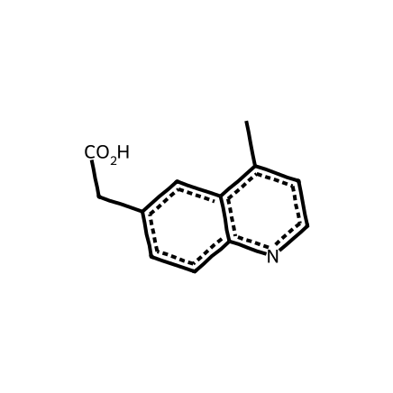 Cc1ccnc2ccc(CC(=O)O)cc12